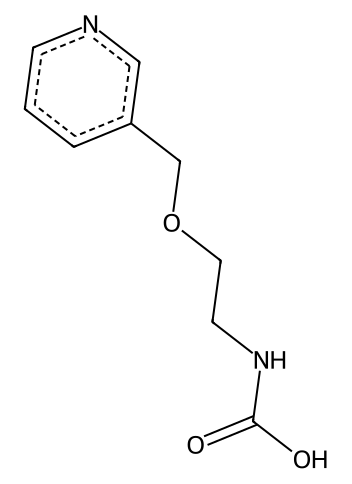 O=C(O)NCCOCc1cccnc1